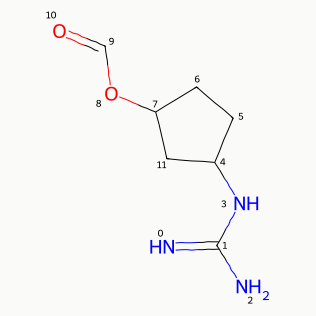 N=C(N)NC1CCC(OC=O)C1